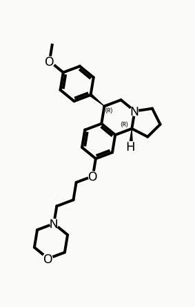 COc1ccc([C@H]2CN3CCC[C@@H]3c3cc(OCCCN4CCOCC4)ccc32)cc1